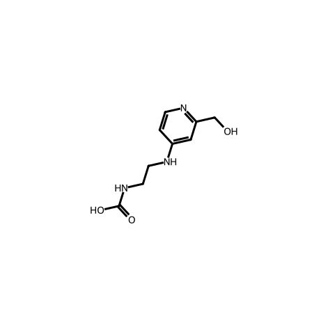 O=C(O)NCCNc1ccnc(CO)c1